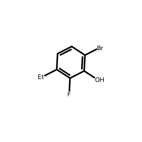 CCc1ccc(Br)c(O)c1F